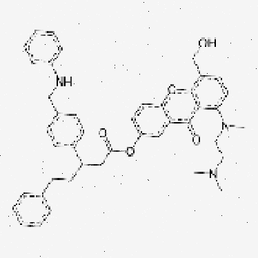 CN(C)CCN(C)c1ccc(CO)c2oc3ccc(OC(=O)CC(CCc4ccccc4)c4ccc(CNc5ccccc5)cc4)cc3c(=O)c12